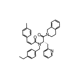 CCc1ccc(CN(C(=O)/C=C\c2ccc(C)cc2)[C@@H](Cc2ccccn2)C(=O)N2CCc3ccccc3C2)cc1